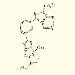 CCOC(=O)c1nc(-c2cccc(-c3cc([C@]4(O)CCN(C)C4=O)on3)c2)c2cnccn12